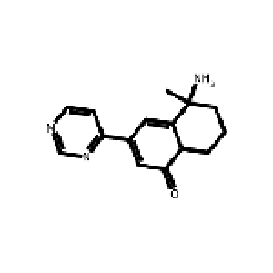 CC1(N)CCCC2C(=O)C=C(c3ccncn3)C=C21